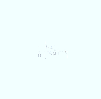 CCC(CCN)NC1=C(C)C(/C=C/ONC)NC=N1